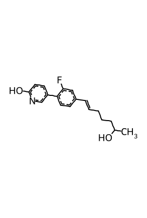 CC(O)CCCC=Cc1ccc(-c2ccc(O)nc2)c(F)c1